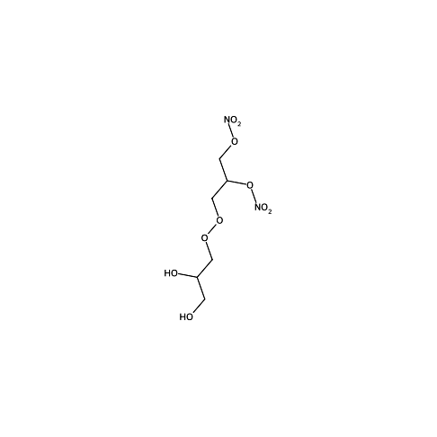 O=[N+]([O-])OCC(COOCC(O)CO)O[N+](=O)[O-]